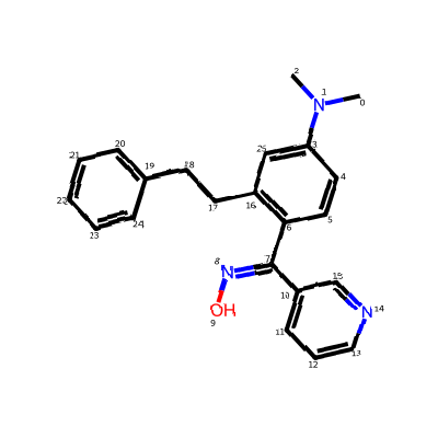 CN(C)c1ccc(C(=NO)c2cccnc2)c(CCc2ccccc2)c1